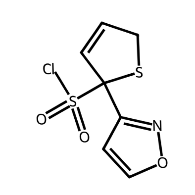 O=S(=O)(Cl)C1(c2ccon2)C=CCS1